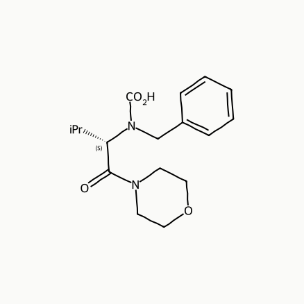 CC(C)[C@@H](C(=O)N1CCOCC1)N(Cc1ccccc1)C(=O)O